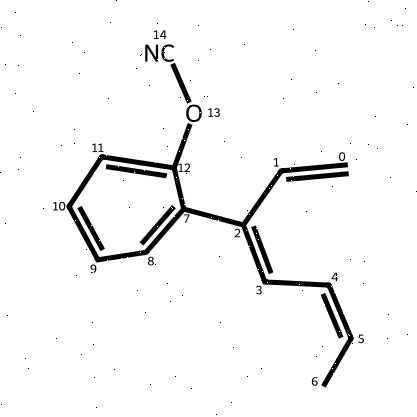 C=C/C(=C\C=C/C)c1ccccc1OC#N